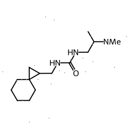 CNC(C)CNC(=O)NCC1CC12CCCCC2